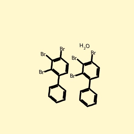 Brc1ccc(-c2ccccc2)c(Br)c1Br.Brc1ccc(-c2ccccc2)c(Br)c1Br.O